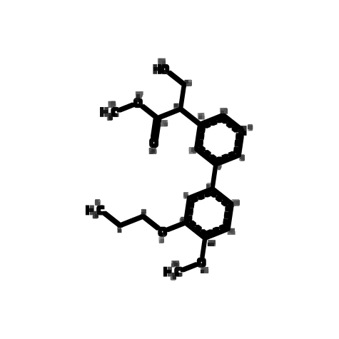 CCCOc1cc(-c2cncc(C(CO)C(=O)OC)c2)ccc1OC